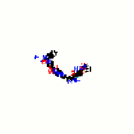 C=C[C@@H](C(C(N)=O)N1CCC(O)(CC(=O)N2CCN(c3ccc(-c4cnc5[nH]cc(C(=O)c6c(F)ccc(NS(=O)(=O)N(C)CC)c6F)c5c4)cn3)CC2)CC1)[C@H](C)C(C)C